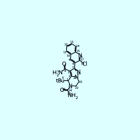 CC(C)(C)C1c2c(C(N)=O)c(-c3cc4ccccc4nc3Cl)nn2CCN1C(N)=O